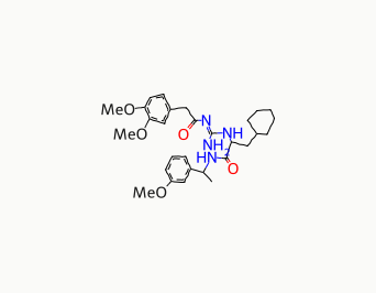 COc1cccc(C(C)NC(=O)C(CC2CCCCC2)NC(N)=NC(=O)Cc2ccc(OC)c(OC)c2)c1